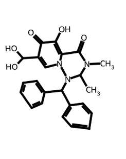 CC1N(C)C(=O)c2c(O)c(=O)c(C(O)O)cn2N1C(c1ccccc1)c1ccccc1